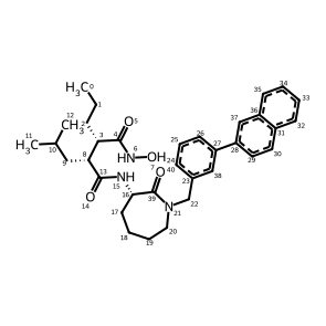 CCC[C@H](C(=O)NO)[C@@H](CC(C)C)C(=O)N[C@H]1CCCCN(Cc2cccc(-c3ccc4ccccc4c3)c2)C1=O